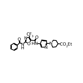 CCOC(=O)C1CCN(c2ccc(NC(=O)c3oc(NC(=O)c4ccccc4)nc3C(F)(F)F)cn2)CC1